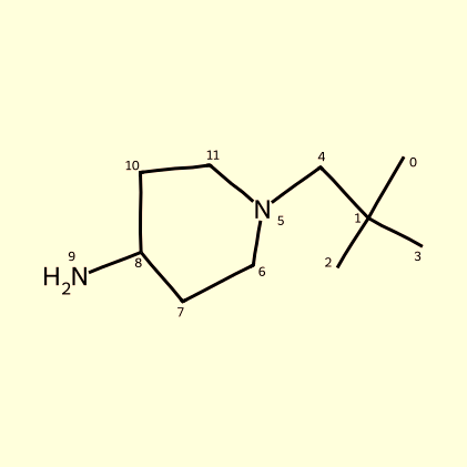 CC(C)(C)CN1CCC(N)CC1